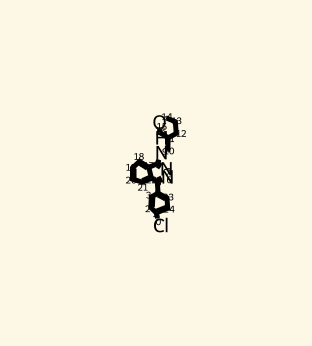 Clc1ccc(-c2nnc(NCC3CCCOC3)c3ccccc23)cc1